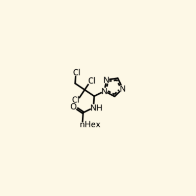 CCCCCCC(=O)NC(n1cncn1)C(Cl)(Cl)CCl